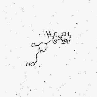 CC(C)(C)[Si](C)(C)OCC1CCN(CCO)C(=O)C1